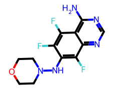 Nc1ncnc2c(F)c(NN3CCOCC3)c(F)c(F)c12